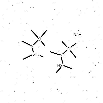 CN([SiH](C)C)[Si](C)(C)C.CN([SiH](C)C)[Si](C)(C)C.[NaH]